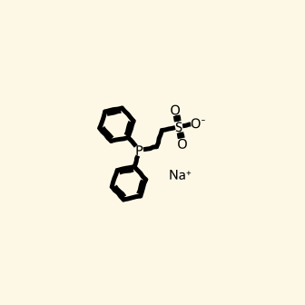 O=S(=O)([O-])CCP(c1ccccc1)c1ccccc1.[Na+]